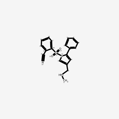 CNCc1cc(-c2ccccc2)n(S(=O)(=O)c2ccccc2C#N)c1